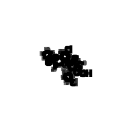 CC[C@@]1(CC(=O)O)C[C@H](c2cccc(Cl)c2)[C@H](C[C@H](c2ccc(Cl)cc2)C2CC2S(=O)(=O)C2CCCC2)NC1=O